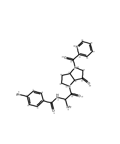 CCCC(NC(=O)c1ccc(C(C)C)cc1)C(=O)N1CCC2C1C(=O)CN2C(=O)c1ccccn1